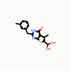 Cc1cccc(Cc2nc3sc(C(O)O)c(C)c3c(=O)[nH]2)c1